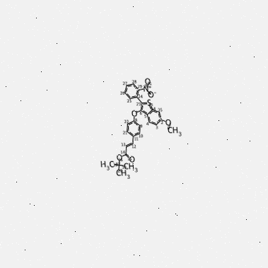 COc1ccc2c(Oc3ccc(C=CC(=O)OC(C)(C)C)cc3)c(-c3ccccc3[N+](=O)[O-])sc2c1